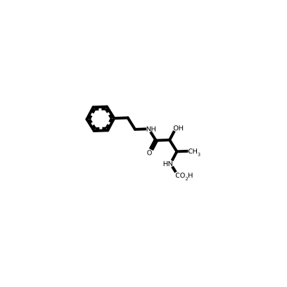 CC(NC(=O)O)C(O)C(=O)NCCc1ccccc1